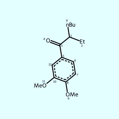 CCCCC(CC)C(=O)c1ccc(OC)c(OC)c1